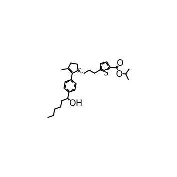 CCCCCC(O)c1ccc(C2=C(C)CC[C@@H]2CCCc2ccc(C(=O)OC(C)C)s2)cc1